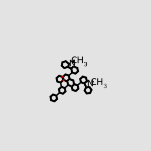 Cn1c2ccccc2c2c(-c3cccc4c(-c5ccc(-c6ccccc6)cc5-c5ccccc5)c5cccc(-c6cccc7c6c6ccccc6n7C)c5cc34)cccc21